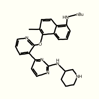 CCCCNc1cccc2c(Oc3ncccc3-c3ccnc(NC4CCCNC4)n3)c(C)ccc12